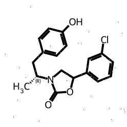 C[C@H](Cc1ccc(O)cc1)N1CC(c2cccc(Cl)c2)OC1=O